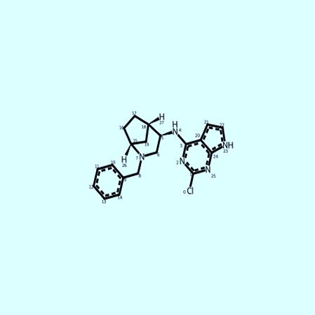 Clc1nc(N[C@H]2CN(Cc3ccccc3)[C@@H]3CC[C@H]2C3)c2cc[nH]c2n1